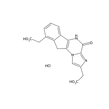 Cl.O=C(O)Cc1cn2c3c([nH]c(=O)c2n1)-c1cccc(CC(=O)O)c1C3